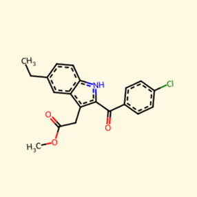 CCc1ccc2[nH]c(C(=O)c3ccc(Cl)cc3)c(CC(=O)OC)c2c1